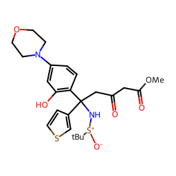 COC(=O)CC(=O)CC(N[S+]([O-])C(C)(C)C)(c1ccsc1)c1ccc(N2CCOCC2)cc1O